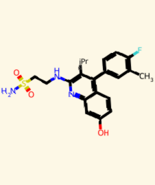 Cc1cc(-c2c(C(C)C)c(NCCS(N)(=O)=O)nc3cc(O)ccc23)ccc1F